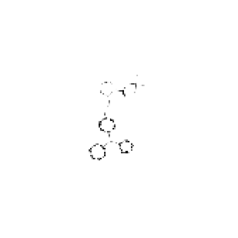 CC(C)(C)OC(=O)N1CCCC1COc1ccc(C(c2ccccc2)c2ccoc2)cc1